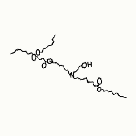 CC/C=C\CCCCOC(CCC(=O)OCCCCCCCN(CCCO)CCCCCCCC(=O)OCCCCCCCCC)OCCCC/C=C\CC